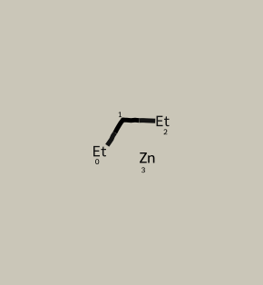 CCCCC.[Zn]